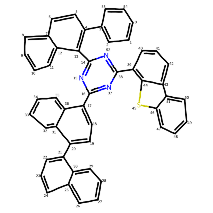 c1ccc(-c2ccc3ccccc3c2-c2nc(-c3ccc(-c4cccc5ccccc45)c4ccccc34)nc(-c3cccc4c3sc3ccccc34)n2)cc1